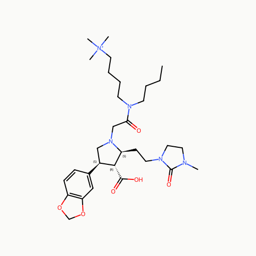 CCCCN(CCCC[N+](C)(C)C)C(=O)CN1C[C@H](c2ccc3c(c2)OCO3)[C@@H](C(=O)O)[C@@H]1CCN1CCN(C)C1=O